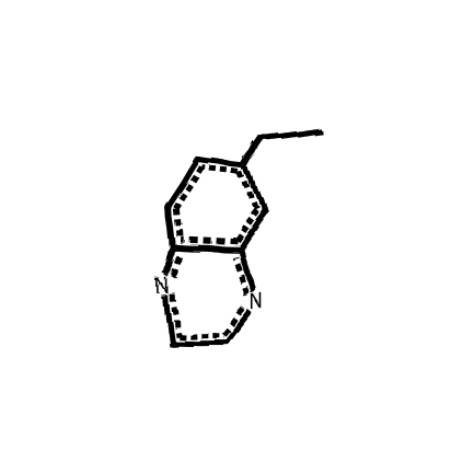 CCc1ccc2nccnc2c1